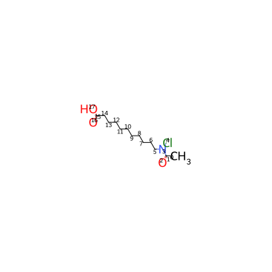 CC(=O)N(Cl)CCCCCCCCCCC(=O)O